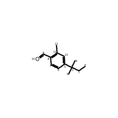 CCC(C)(C)c1ccc(C=O)c(C)c1